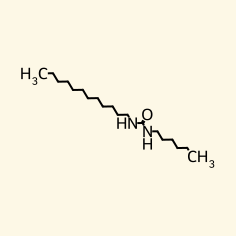 CCCCCCCCCCCCNC(=O)NCCCCCC